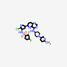 Cc1ccc(N2CCC(Nc3ncnc4ccc(-c5cnc(Cl)c(NS(=O)(=O)c6ccc(F)cc6F)c5)nc34)CC2)cn1